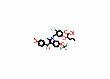 CCCC(Oc1ccc(Cl)c(Cn2c(C)c(C(=O)c3ccc(OC)cc3)c3ccc(OC(F)(F)F)cc32)c1)C(=O)O